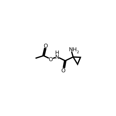 CC(=O)ONC(=O)C1(N)CC1